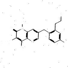 CCOC(=O)c1c(O)c2ncc(Cc3ccc(F)cc3CCC(C)=O)cc2n(C)c1=O